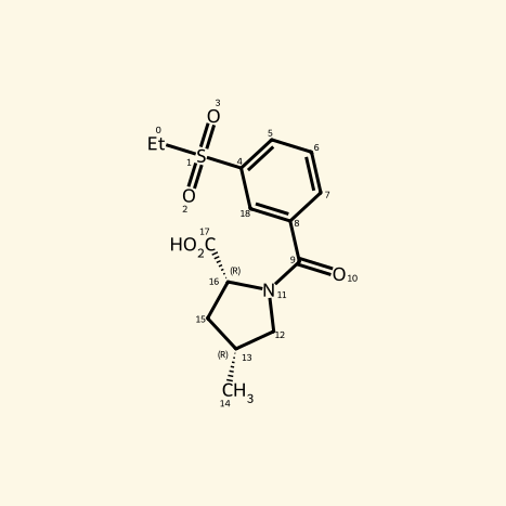 CCS(=O)(=O)c1cccc(C(=O)N2C[C@H](C)C[C@@H]2C(=O)O)c1